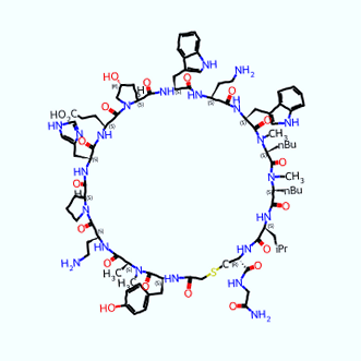 CCCC[C@H]1C(=O)N(C)[C@@H](CCCC)C(=O)N[C@@H](CC(C)C)C(=O)N[C@H](C(=O)NCC(N)=O)CSCC(=O)N[C@@H](Cc2ccc(O)cc2)C(=O)N(C)[C@@H](C)C(=O)N[C@@H](CCN)C(=O)N2CCC[C@H]2C(=O)N[C@@H](Cc2c[nH]cn2)C(=O)N[C@@H](CCC(=O)O)C(=O)N2C[C@H](O)C[C@H]2C(=O)N[C@@H](Cc2c[nH]c3ccccc23)C(=O)N[C@@H](CCN)C(=O)N[C@@H](Cc2c[nH]c3ccccc23)C(=O)N1C